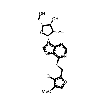 COc1coc(CNc2ncnc3c2ncn3[C@@H]2O[C@H](CO)[C@@H](O)[C@@H]2O)c1O